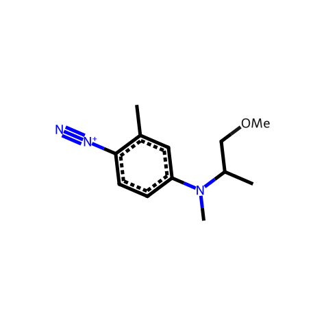 COCC(C)N(C)c1ccc([N+]#N)c(C)c1